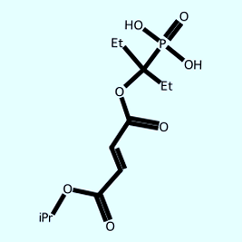 CCC(CC)(OC(=O)C=CC(=O)OC(C)C)P(=O)(O)O